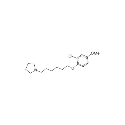 COc1ccc(OCCCCCCN2CCCC2)c(Cl)c1